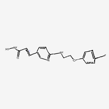 O=C(/C=C/c1ccc(NCCOc2ccc(F)cc2)nc1)NO